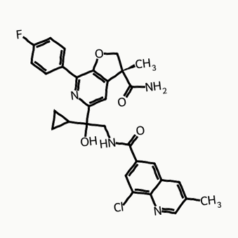 Cc1cnc2c(Cl)cc(C(=O)NCC(O)(c3cc4c(c(-c5ccc(F)cc5)n3)OC[C@]4(C)C(N)=O)C3CC3)cc2c1